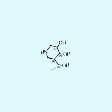 C[C@@H](O)[C@H]1CNC[C@@H](O)[C@@H]1O